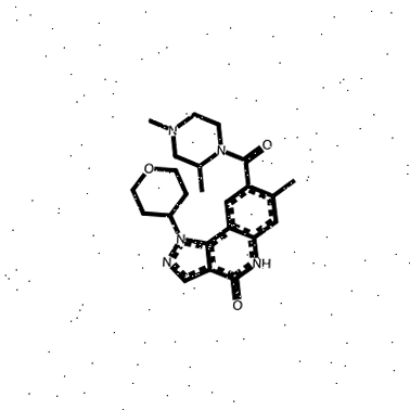 Cc1cc2[nH]c(=O)c3cnn(C4CCOCC4)c3c2cc1C(=O)N1CCN(C)CC1C